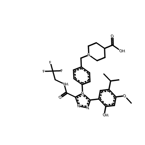 COc1cc(O)c(-c2nnc(C(=O)NCC(F)(F)F)n2-c2ccc(CN3CCC(C(=O)O)CC3)cc2)cc1C(C)C